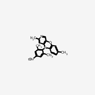 Cc1ccc2c(c1)Oc1cnc(C)cc1N2c1c(C)cc(C(C)(C)C)cc1C